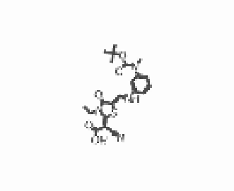 CCn1c(=C(C#N)C(=O)O)sc(=CNc2cccc(N(C)C(=O)OC(C)(C)C)c2)c1=O